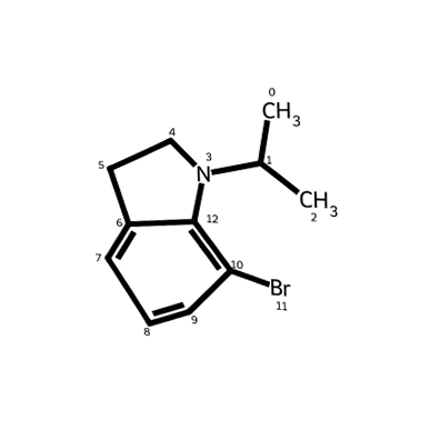 CC(C)N1CCc2cccc(Br)c21